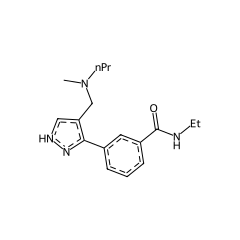 CCCN(C)Cc1c[nH]nc1-c1cccc(C(=O)NCC)c1